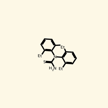 CCc1cccc(C)c1N(C(N)=S)c1c(CC)cccc1CC